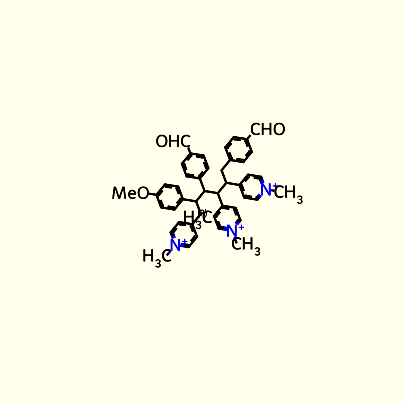 COc1ccc(C(C(c2ccc(C=O)cc2)C(c2cc[n+](C)cc2)C(Cc2ccc(C=O)cc2)c2cc[n+](C)cc2)[C@@H](C)c2cc[n+](C)cc2)cc1